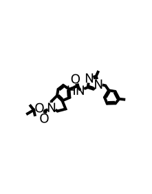 Cc1cccc(Cn2cc(NC(=O)c3ccc4c(c3)CCN(C(=O)OC(C)(C)C)C4)nc2C)c1